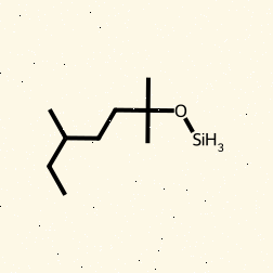 CCC(C)CCC(C)(C)O[SiH3]